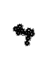 CC1(C)c2ccccc2-c2c(N(c3ccc(-c4ccccc4)cc3)c3ccc4c(c3)oc3cc(C5(c6ccccc6)c6ccccc6-c6ccccc65)ccc34)cccc21